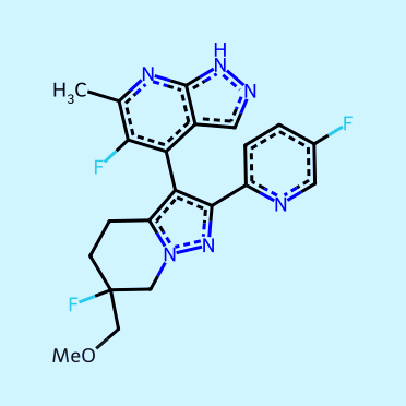 COCC1(F)CCc2c(-c3c(F)c(C)nc4[nH]ncc34)c(-c3ccc(F)cn3)nn2C1